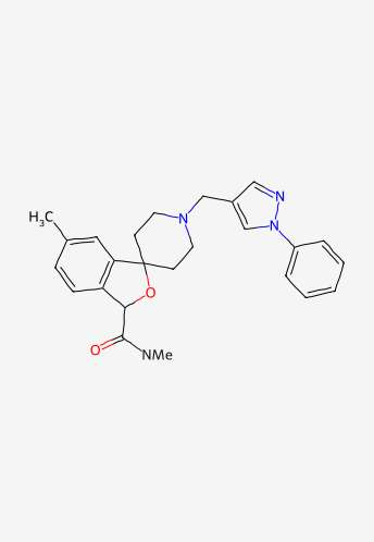 CNC(=O)C1OC2(CCN(Cc3cnn(-c4ccccc4)c3)CC2)c2cc(C)ccc21